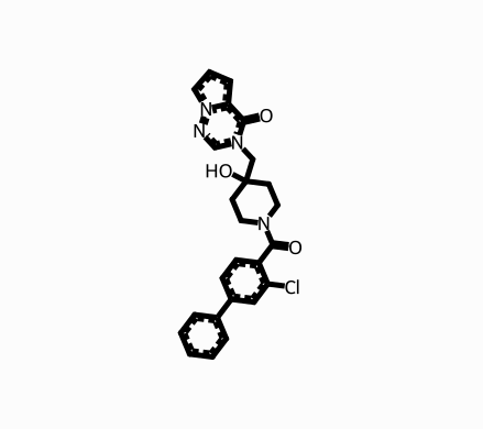 O=C(c1ccc(-c2ccccc2)cc1Cl)N1CCC(O)(Cn2cnn3cccc3c2=O)CC1